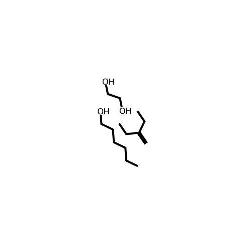 C=C(CC)CC.CCCCCCO.OCCO